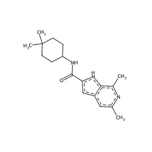 Cc1cc2cc(C(=O)NC3CCC(C)(C)CC3)[nH]c2c(C)n1